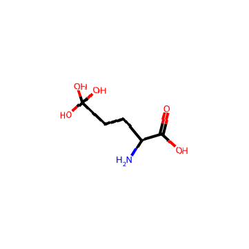 NC(CCC(O)(O)O)C(=O)O